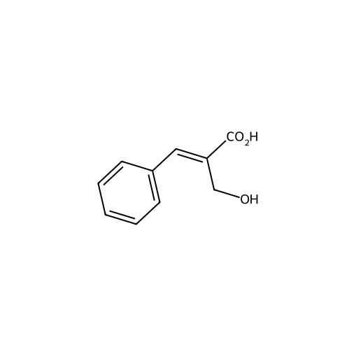 O=C(O)/C(=C/c1ccccc1)CO